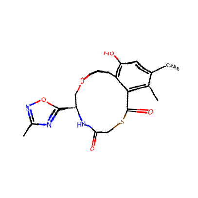 COc1cc(O)c2c(c1C)C(=O)SCC(=O)N[C@@H](c1nc(C)no1)COC2